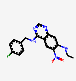 CCNc1cc2ncnc(NCc3ccc(F)cc3)c2cc1[N+](=O)[O-]